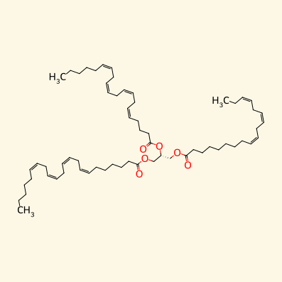 CC/C=C\C/C=C\C/C=C\CCCCCCCC(=O)OC[C@H](COC(=O)CCCCC/C=C\C/C=C\C/C=C\C/C=C\CCCCC)OC(=O)CCC/C=C\C/C=C\C/C=C\C/C=C\CCCCC